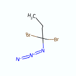 CCC(Br)(Br)N=[N+]=[N-]